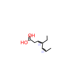 C/C=C\C(=C/CB(O)O)CC